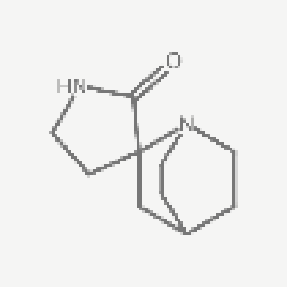 O=C1NCCC12CC1CCN2CC1